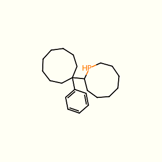 c1ccc(C2(C3CCCCCCCP3)CCCCCCCC2)cc1